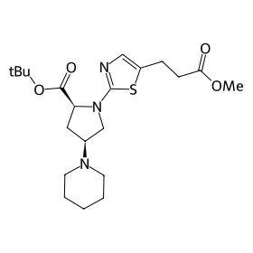 COC(=O)CCc1cnc(N2C[C@@H](N3CCCCC3)C[C@H]2C(=O)OC(C)(C)C)s1